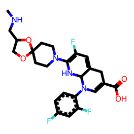 CNCC1COC2(CCN(C3=C(F)C=C4CC(C(=O)O)=CN(c5ccc(F)cc5F)C4N3)CC2)O1